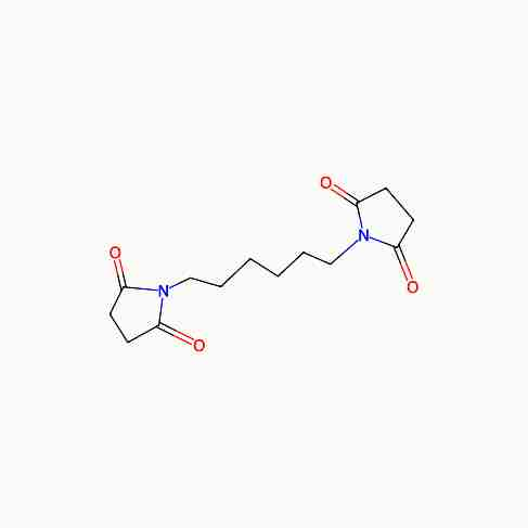 O=C1CCC(=O)N1CCCCCCN1C(=O)CCC1=O